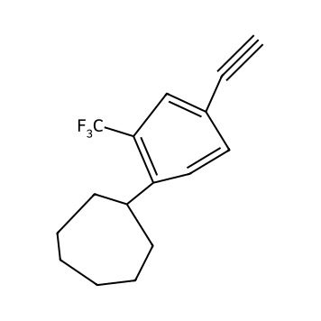 C#Cc1ccc(C2CCCCCC2)c(C(F)(F)F)c1